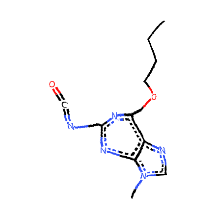 CCCCOc1nc(N=C=O)nc2c1ncn2C